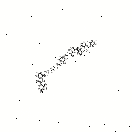 Nc1ncnc2c1c(-c1ccc(Oc3ccccc3)cc1)nn2C1CCCN(C(=O)CCCN2CCN(CCCCCCCCCCNc3cccc4c3CN(C3CCC(=O)NC3=O)C4=O)CC2)C1